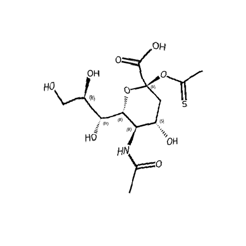 CC(=O)N[C@H]1[C@H]([C@H](O)[C@H](O)CO)O[C@](OC(C)=S)(C(=O)O)C[C@@H]1O